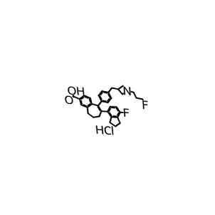 Cl.O=C(O)c1ccc2c(c1)CCCC(c1ccc(F)c3c1CCC3)=C2c1ccc(CC2CN(CCCF)C2)cc1